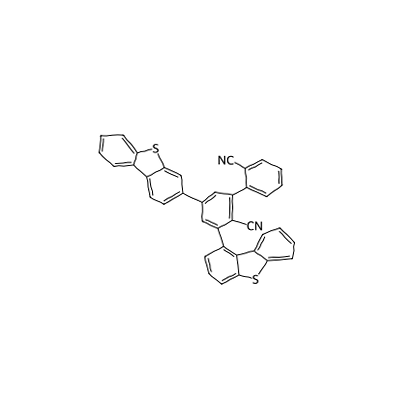 N#Cc1ccccc1-c1cc(-c2ccc3c(c2)sc2ccccc23)cc(-c2cccc3sc4ccccc4c23)c1C#N